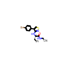 CC(C)C[C@H](Nc1nscc1-c1ccc(Br)cc1)C(=O)NCC#N